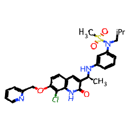 CC(C)CN(c1cccc(N[C@@H](C)c2cc3ccc(OCc4ccccn4)c(Cl)c3[nH]c2=O)c1)S(C)(=O)=O